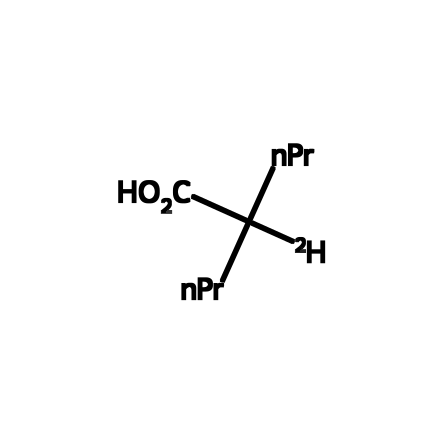 [2H]C(CCC)(CCC)C(=O)O